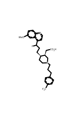 COc1ccc2nccc(C(F)CC[C@@H]3CCN(CCCc4ccc(C(F)(F)F)cc4)C[C@@H]3CC(=O)O)c2c1